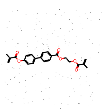 C=C(C)C(=O)OCCOC(=O)c1ccc(-c2ccc(OC(=O)C(=C)C)cc2)cc1